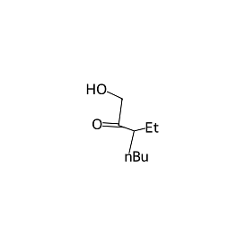 CCCCC(CC)C(=O)CO